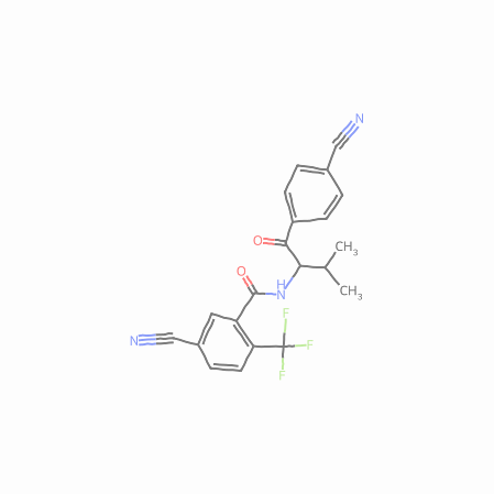 CC(C)C(NC(=O)c1cc(C#N)ccc1C(F)(F)F)C(=O)c1ccc(C#N)cc1